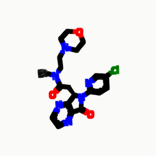 CCN(CCN1CCOCC1)C(=O)C[C@@H]1c2nccnc2C(=O)N1c1ccc(Cl)cn1